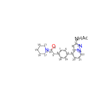 CC(=O)Nc1cc2c(-c3ccc(CC(=O)N4CCCCC4)cc3)cccn2n1